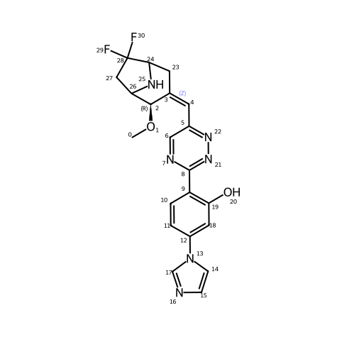 CO[C@@H]1/C(=C\c2cnc(-c3ccc(-n4ccnc4)cc3O)nn2)CC2NC1CC2(F)F